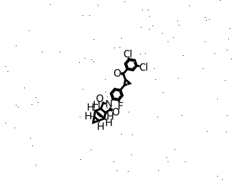 O=C(c1cc(Cl)cc(Cl)c1)C1CC1c1ccc(N2C(=O)[C@@H]3[C@@H]4C=C[C@@H]([C@H]5C[C@@H]45)[C@@H]3C2=O)c(F)c1